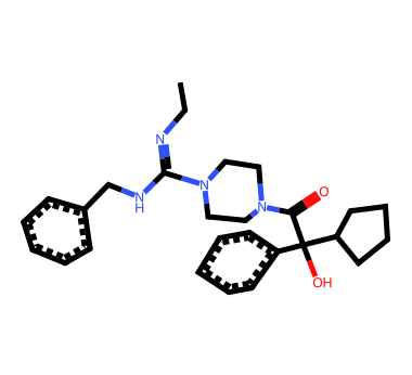 CCN=C(NCc1ccccc1)N1CCN(C(=O)C(O)(c2ccccc2)C2CCCC2)CC1